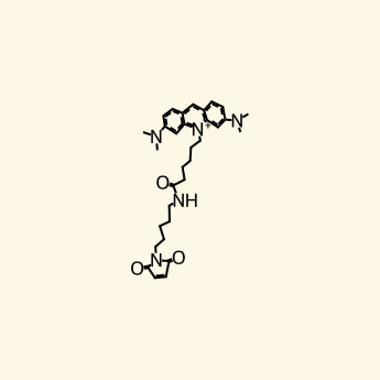 CN(C)c1ccc2cc3ccc(N(C)C)cc3[n+](CCCCCC(=O)NCCCCCN3C(=O)C=CC3=O)c2c1